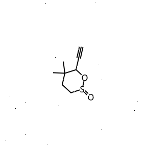 C#CC1OS(=O)CCC1(C)C